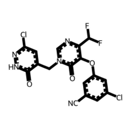 N#Cc1cc(Cl)cc(Oc2c(C(F)F)ncn(Cc3cc(Cl)n[nH]c3=O)c2=O)c1